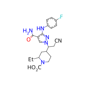 CCC1CC(C(CC#N)n2cc(C(N)=O)c(Nc3ccc(F)cc3)n2)CCN1C(=O)O